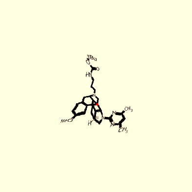 COc1ccc2c(c1)C13CCN(CCCNC(=O)OC(C)(C)C)C(C2)C12CCC1C3[C@@H](CN1c1nc(C)cc(C)n1)C2